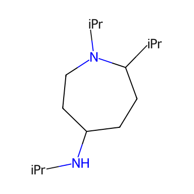 CC(C)NC1CCC(C(C)C)N(C(C)C)CC1